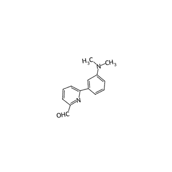 CN(C)c1cccc(-c2cccc(C=O)n2)c1